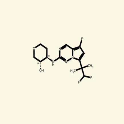 CC(C)(c1cc(F)c2cnc(N[C@@H]3CCOC[C@H]3O)nn12)C(F)F